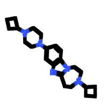 c1cc2c(cc1N1CCN(C3CCC3)CC1)nc1n2CCN(C2CCC2)CC1